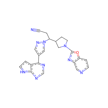 N#CCC(C1CCN(c2nc3cnccc3o2)C1)n1cc(-c2ncnc3[nH]ccc23)cn1